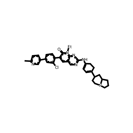 CCn1c(=O)c(-c2ccc(-c3ccc(C)nc3)cc2Cl)cc2cnc(NC3=CC=C(C4CCN5CCCC5C4)CC3)nc21